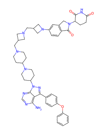 Nc1ncnc2c1c(-c1ccc(Oc3ccccc3)cc1)nn2C1CCN(C2CCN(CC3CN(CC4CN(c5ccc6c(c5)CN(C5CCC(=O)NC5=O)C6=O)C4)C3)CC2)CC1